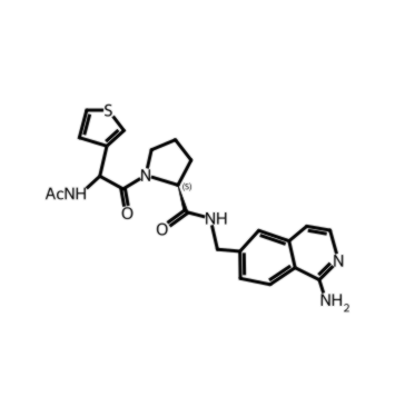 CC(=O)NC(C(=O)N1CCC[C@H]1C(=O)NCc1ccc2c(N)nccc2c1)c1ccsc1